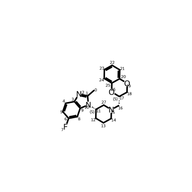 Cc1nc2ccc(F)cc2n1[C@H]1CCCN(C[C@H]2COc3ccccc3O2)C1